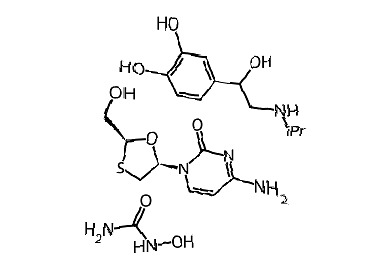 CC(C)NCC(O)c1ccc(O)c(O)c1.NC(=O)NO.Nc1ccn([C@H]2CS[C@@H](CO)O2)c(=O)n1